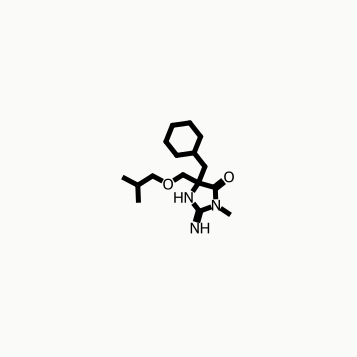 CC(C)COCC1(CC2CCCCC2)NC(=N)N(C)C1=O